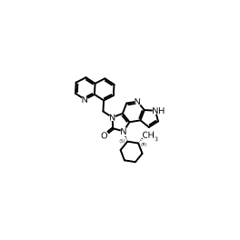 C[C@@H]1CCCC[C@@H]1n1c(=O)n(Cc2cccc3cccnc23)c2cnc3[nH]ccc3c21